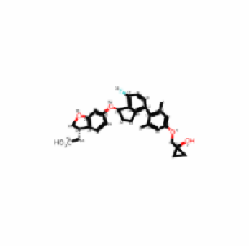 Cc1cc(OCC2(O)CC2)cc(C)c1-c1ccc(F)c2c1CC[C@H]2Oc1ccc2c(c1)OC[C@H]2CC(=O)O